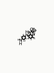 CNc1ccc(Nc2ccc(C)c3nc4c(nc23)OCO4)cc1